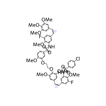 COc1ccc(S(=O)(=O)Nc2cc(/C=C\c3cc(OC)c(OC)c(OC)c3)cc(F)c2OC)cc1OCCOc1c(OC)cc(/C=C\c2cc(F)c(OC)c(NS(=O)(=O)c3ccc(Cl)cc3)c2)cc1OC